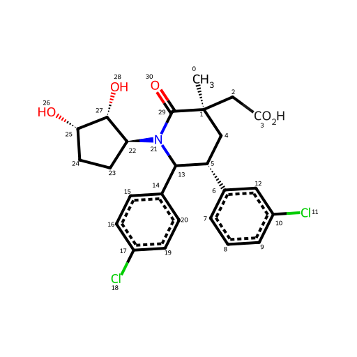 C[C@]1(CC(=O)O)C[C@H](c2cccc(Cl)c2)C(c2ccc(Cl)cc2)N([C@H]2CC[C@H](O)[C@@H]2O)C1=O